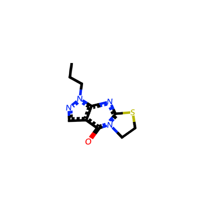 CCCn1ncc2c(=O)n3c(nc21)SCC3